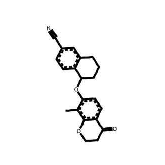 Cc1c(OC2CCCc3cc(C#N)ccc32)ccc2c1OCCC2=O